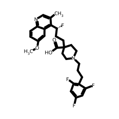 COc1ccc2ncc(C)c([C@H](F)CCC3(C(=O)O)CCN(CCCc4c(F)cc(F)cc4F)CC3)c2c1